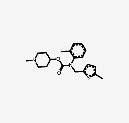 Cc1ccc(CN(C(=O)OC2CCN(C)CC2)c2ccccc2F)s1